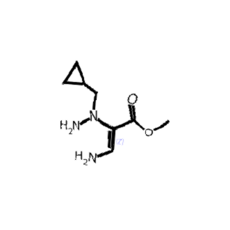 COC(=O)/C(=C/N)N(N)CC1CC1